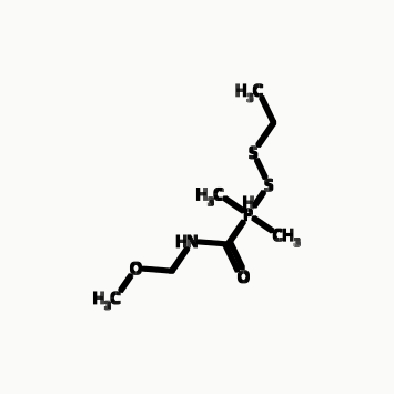 CCSS[PH](C)(C)C(=O)NCOC